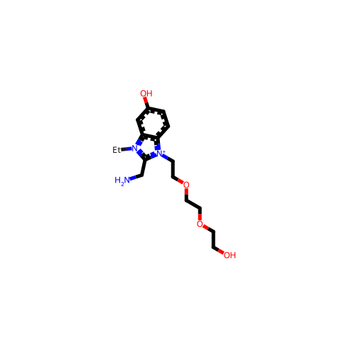 CCn1c(CN)[n+](CCOCCOCCO)c2ccc(O)cc21